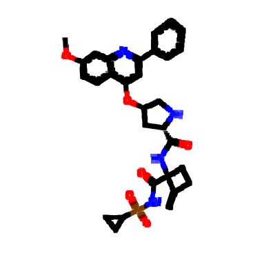 C=C1CCC1(NC(=O)[C@@H]1C[C@@H](Oc2cc(-c3ccccc3)nc3cc(OC)ccc23)CN1)C(=O)NS(=O)(=O)C1CC1